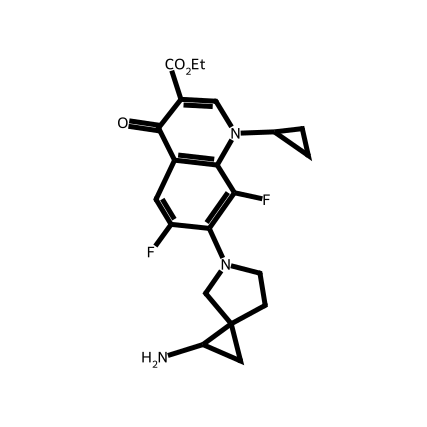 CCOC(=O)c1cn(C2CC2)c2c(F)c(N3CCC4(CC4N)C3)c(F)cc2c1=O